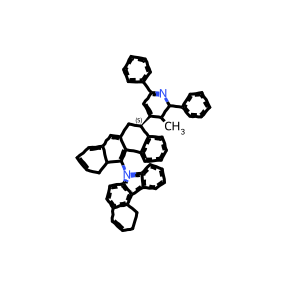 CC1C([C@@H]2CC3=CC4=CC=CCC4C(n4c5ccccc5c5c6c(ccc54)C=CCC6)=C3c3ccccc32)=CC(c2ccccc2)=NC1c1ccccc1